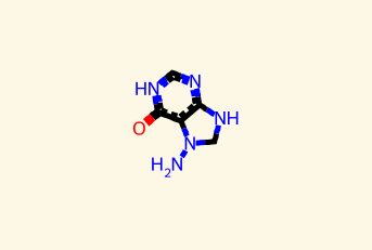 NN1CNc2nc[nH]c(=O)c21